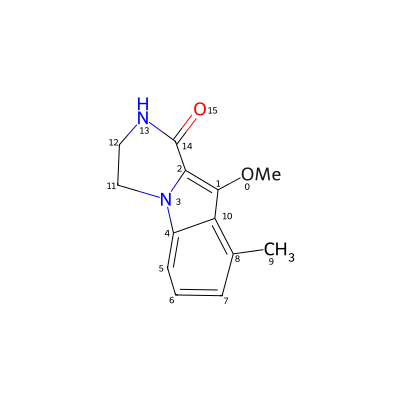 COc1c2n(c3cccc(C)c13)CCNC2=O